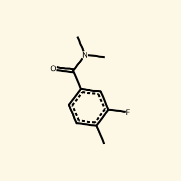 Cc1ccc(C(=O)N(C)C)cc1F